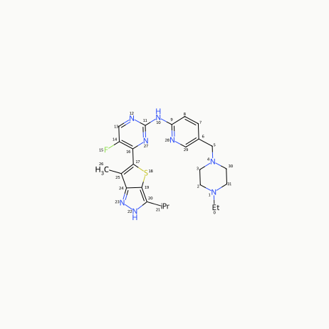 CCN1CCN(Cc2ccc(Nc3ncc(F)c(-c4sc5c(C(C)C)[nH]nc5c4C)n3)nc2)CC1